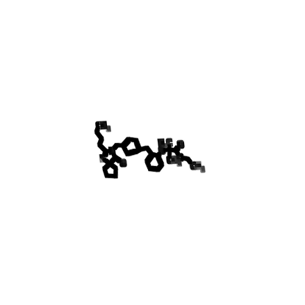 CCCCC1=NC2(CCCC2)C(=O)N1Cc1ccc(Cc2ccccc2OC(C)(C)C(=O)OCC)cc1